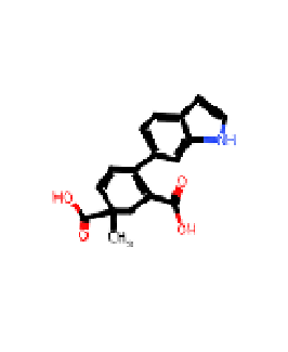 CC1(C(=O)O)C=CC(c2ccc3cc[nH]c3c2)=C(C(=O)O)C1